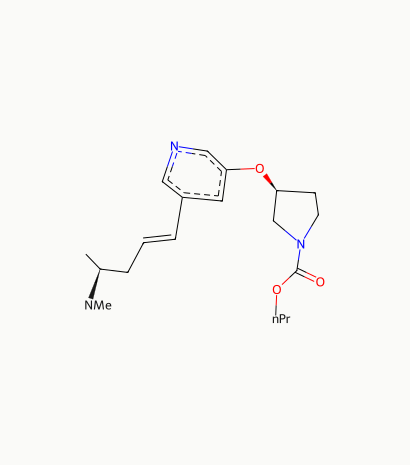 CCCOC(=O)N1CC[C@H](Oc2cncc(/C=C/C[C@H](C)NC)c2)C1